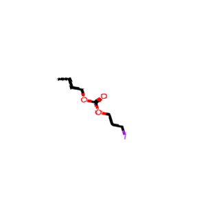 CCCCOC(=O)OCCCI